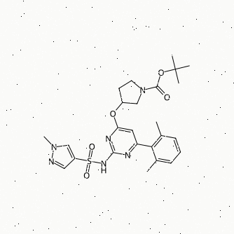 Cc1cccc(C)c1-c1cc(OC2CCN(C(=O)OC(C)(C)C)C2)nc(NS(=O)(=O)c2cnn(C)c2)n1